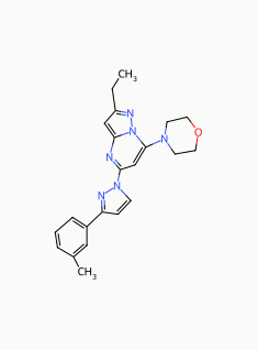 CCc1cc2nc(-n3ccc(-c4cccc(C)c4)n3)cc(N3CCOCC3)n2n1